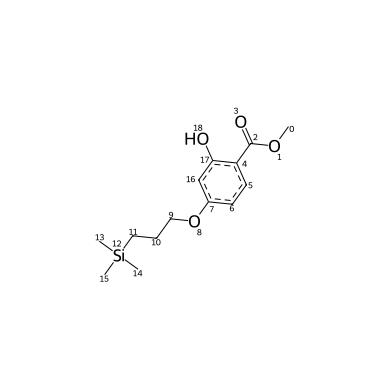 COC(=O)c1ccc(OCCC[Si](C)(C)C)cc1O